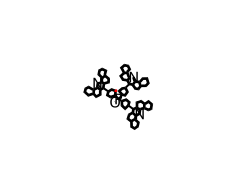 O=P(c1ccc(-c2c3ccc4ccccc4c3nc3c2ccc2ccccc23)cc1)(c1ccc(-c2c3ccc4ccccc4c3nc3c2ccc2ccccc23)cc1)c1ccc(-c2c3ccc4ccccc4c3nc3c2ccc2ccccc23)cc1